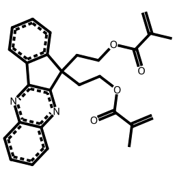 C=C(C)C(=O)OCCC1(CCOC(=O)C(=C)C)c2ccccc2-c2nc3ccccc3nc21